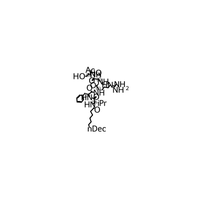 CCCCCCCCCCCCCCCC(=O)N[C@H](C(=O)N[C@@H](Cc1ccccc1)C(=O)N[C@@H](CCCNC(=N)N)C(=O)N[C@@H](CO)C(=O)N[C@@H](CO)C(C)=O)C(C)C